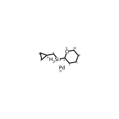 C1CCC([SiH2]CC2CC2)OC1.[Pd]